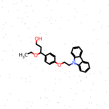 CCOC(CCO)c1ccc(OCCn2c3ccccc3c3ccccc32)cc1